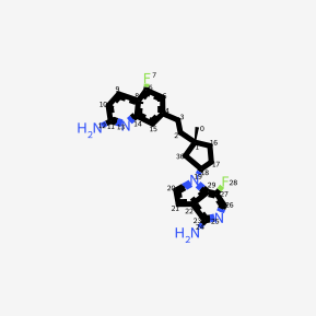 C[C@@]1(CCc2cc(F)c3ccc(N)nc3c2)CCC(n2ccc3c(N)ncc(F)c32)C1